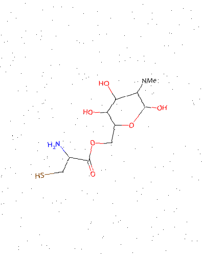 CNC1C(O)OC(COC(=O)C(N)CS)C(O)C1O